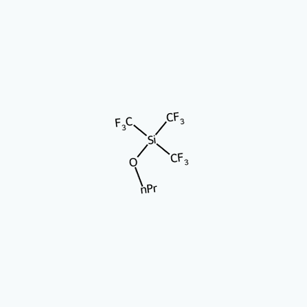 CCCO[Si](C(F)(F)F)(C(F)(F)F)C(F)(F)F